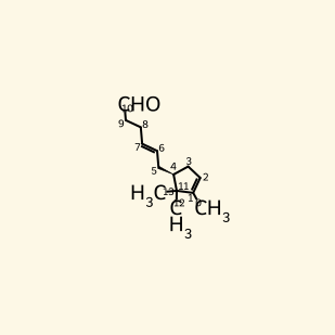 CC1=CC[C@H](C/C=C/CCC=O)C1(C)C